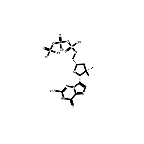 C[C@@]1(F)C[C@@H](COP(=O)(O)OP(=O)(O)OP(=O)(O)O)O[C@H]1c1cnc2c(=O)[nH]c(N)nn12